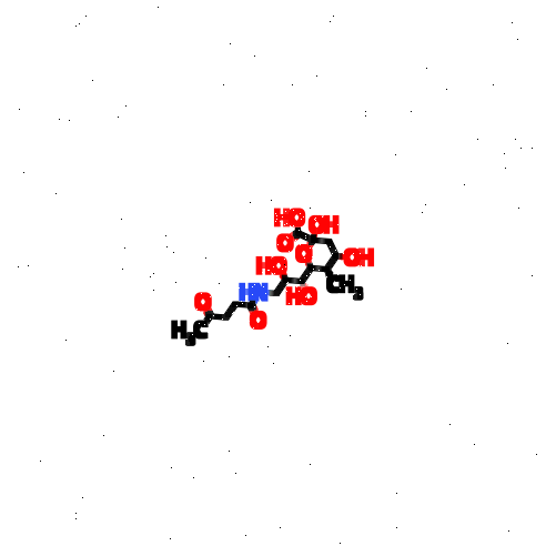 CC(=O)CCC(=O)NC[C@@H](O)[C@@H](O)C1OC(O)(C(=O)O)C[C@@H](O)[C@H]1C